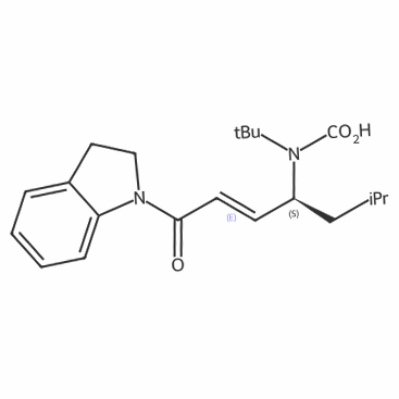 CC(C)C[C@@H](/C=C/C(=O)N1CCc2ccccc21)N(C(=O)O)C(C)(C)C